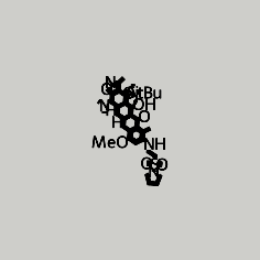 COc1cc(NCCS(=O)(=O)N2CCCC2)c(C)c2c1C[C@H]1C[C@H]3[C@H](N(C)C)c4onc(C)c4C(=O)[C@@]3(O[Si](C)(C)C(C)(C)C)C(O)=C1C2=O